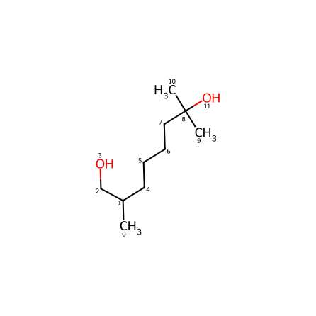 CC(CO)CCCCC(C)(C)O